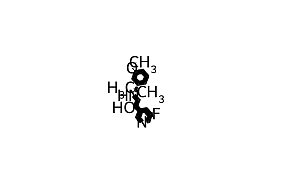 CO[C@@H]1CCC[C@H](C(C)(C)NC[C@H](O)c2cncc(F)c2)C1